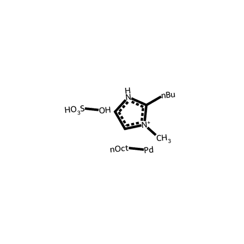 CCCCCCC[CH2][Pd].CCCCc1[nH]cc[n+]1C.O=S(=O)(O)O